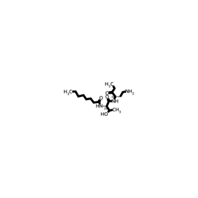 CCCCCCCC(=O)N[C@H](C(=O)N[C@@H](CCN)C(=O)CC)C(C)O